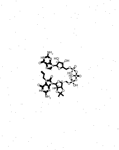 C=CCn1c(=O)n(C2O[C@H](COP(=O)(O)OP(=O)(O)OP(=O)(O)OCC3OC(n4cnc5c(=O)[nH]c(N)nc54)[C@H](O)[C@@H]3O)C3OC(C)(C)O[C@@H]32)c2nc(N)[nH]c(=O)c21